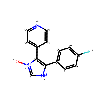 [O-][n+]1c[nH]c(-c2ccc(F)cc2)c1-c1ccncc1